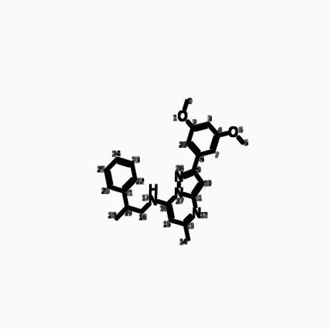 COc1cc(OC)cc(-c2cc3nc(C)cc(NCC(C)c4ccccc4)n3n2)c1